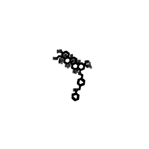 CC1(C)C[C@@H](OCc2ccc(CNc3ccccc3)cc2)[C@]2(C)CC[C@]3(C)C(=CC[C@@H]4[C@@]5(C)CC[C@H](O)[C@](C)(CO)[C@@H]5CC[C@]43C)[C@@H]2C1